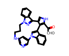 NCCCn1nc(-c2c[nH]c(C(=O)C=O)c2-c2cn(-c3cccnc3)c3ccccc23)c2ccccc21